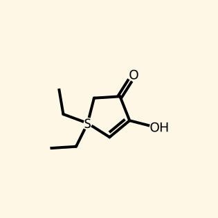 CCS1(CC)C=C(O)C(=O)C1